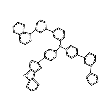 c1ccc(-c2cccc(-c3ccc(N(c4ccc(-c5ccc6oc7ccccc7c6c5)cc4)c4cccc(-c5cccc(-c6cccc7ccccc67)c5)c4)cc3)c2)cc1